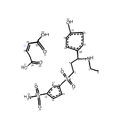 CCNC(CCS(=O)(=O)c1ccc(S(N)(=O)=O)s1)c1ccc(O)cc1.O=C(O)/C=C\C(=O)O